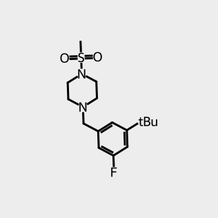 CC(C)(C)c1cc(F)cc(CN2CCN(S(C)(=O)=O)CC2)c1